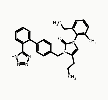 CCCc1cn(-c2c(C)cccc2CC)c(=O)n1Cc1ccc(-c2ccccc2-c2nnn[nH]2)cc1